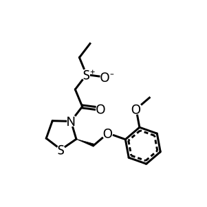 CC[S+]([O-])CC(=O)N1CCS[C@@H]1COc1ccccc1OC